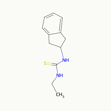 CCNC(=S)NC1Cc2ccccc2C1